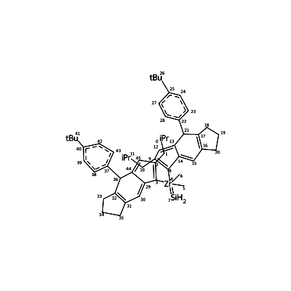 CC(C)CC1=[C]([Zr]([CH3])([CH3])(=[SiH2])[C]2=C(CC(C)C)C=C3C2=CC2=C(CCC2)C3c2ccc(C(C)(C)C)cc2)C2=CC3=C(CCC3)C(c3ccc(C(C)(C)C)cc3)C2=C1